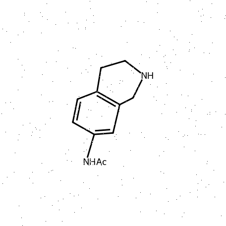 CC(=O)Nc1ccc2c(c1)CNCC2